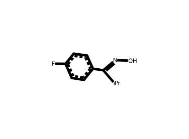 CC(C)C(=NO)c1ccc(F)cc1